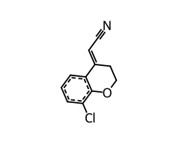 N#CC=C1CCOc2c(Cl)cccc21